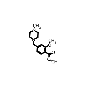 COC(=O)c1ccc(CN2CCN(C)CC2)cc1OC